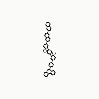 c1ccc2cc(-c3ccc4cc(-c5ccc6oc7cc8c(cc7c6c5)oc5ccc(-c6ccc(-c7cc9ccccc9c9ccccc79)cc6)cc58)ccc4c3)ccc2c1